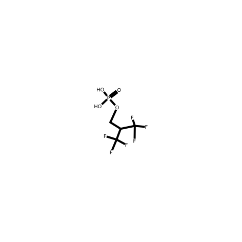 O=P(O)(O)OCC(C(F)(F)F)C(F)(F)F